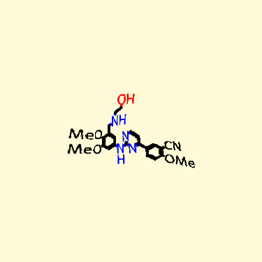 COc1ccc(-c2ccnc(Nc3cc(CNCCO)c(OC)c(OC)c3)n2)cc1C#N